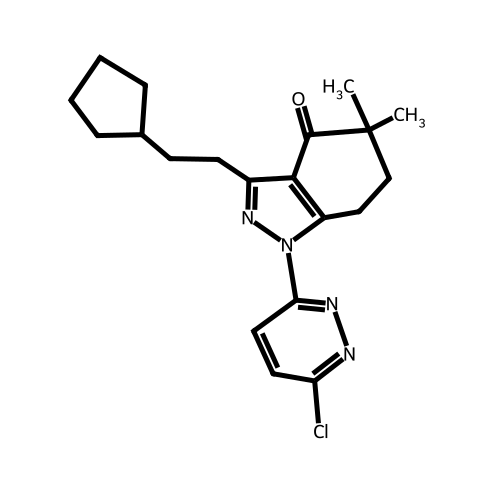 CC1(C)CCc2c(c(CCC3CCCC3)nn2-c2ccc(Cl)nn2)C1=O